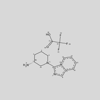 N[C@@H]1CCCN(c2ncc3ccccn23)C1.O=C(O)C(F)(F)F